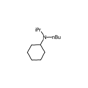 [CH2]CCCN(C(C)C)C1CCCCC1